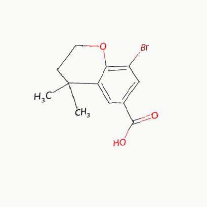 CC1(C)CCOc2c(Br)cc(C(=O)O)cc21